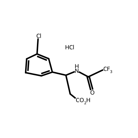 Cl.O=C(O)CC(NC(=O)C(F)(F)F)c1cccc(Cl)c1